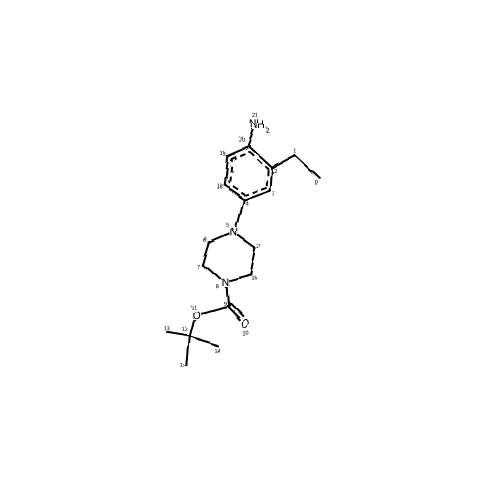 CCc1cc(N2CCN(C(=O)OC(C)(C)C)CC2)ccc1N